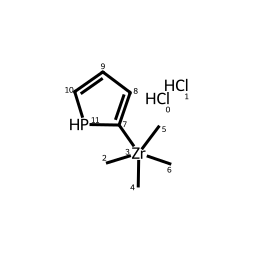 Cl.Cl.[CH3][Zr]([CH3])([CH3])([CH3])[c]1ccc[pH]1